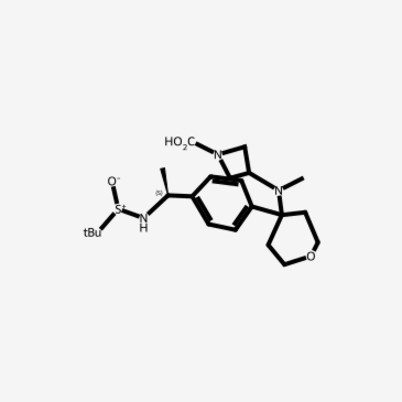 C[C@H](N[S+]([O-])C(C)(C)C)c1ccc(C2(N(C)C3CN(C(=O)O)C3)CCOCC2)cc1